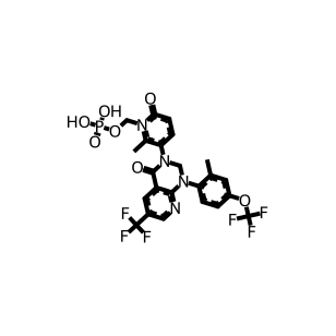 Cc1cc(OC(F)(F)F)ccc1N1CN(c2ccc(=O)n(COP(=O)(O)O)c2C)C(=O)c2cc(C(F)(F)F)cnc21